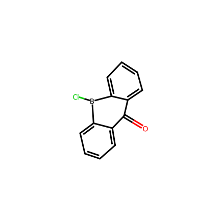 O=C1c2ccccc2B(Cl)c2ccccc21